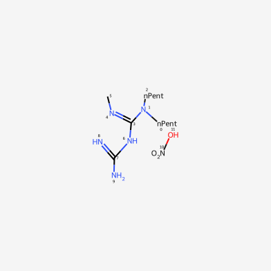 CCCCCN(CCCCC)/C(=N\C)NC(=N)N.O=[N+]([O-])O